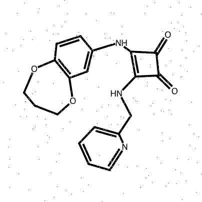 O=c1c(NCc2ccccn2)c(Nc2ccc3c(c2)OCCCO3)c1=O